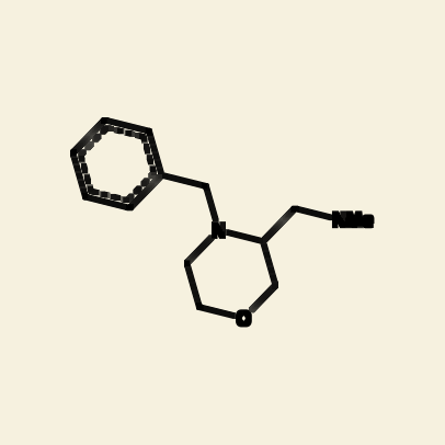 CNCC1COCCN1Cc1ccccc1